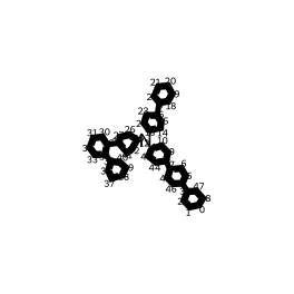 c1ccc(-c2ccc(-c3ccc(N(c4ccc(-c5ccccc5)cc4)c4ccc(-c5ccccc5-c5ccccc5)cc4)cc3)cc2)cc1